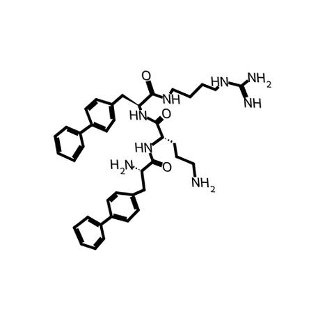 N=C(N)NCCCCNC(=O)[C@H](Cc1ccc(-c2ccccc2)cc1)NC(=O)[C@H](CCCN)NC(=O)[C@@H](N)Cc1ccc(-c2ccccc2)cc1